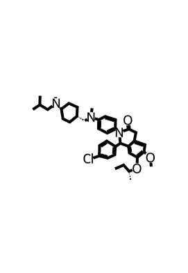 CC[C@@H](C)Oc1cc2c(cc1OC)CC(=O)N(c1ccc(N(C)C[C@H]3CC[C@H](N(C)CC(C)C)CC3)cc1)C2c1ccc(Cl)cc1